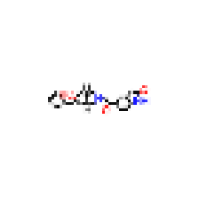 O=C1Cc2cc(C(=O)CN3C[C@@H]4CC(O)(Cc5ccccc5)C[C@@H]4C3)ccc2N1